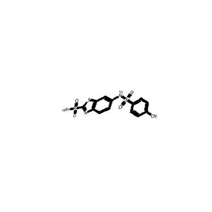 CCCS(=O)(=O)c1nc2ccc(NS(=O)(=O)c3ccc(C#N)cc3)cc2s1